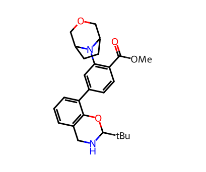 COC(=O)c1ccc(-c2cccc3c2OC(C(C)(C)C)NC3)cc1N1C2CCC1COC2